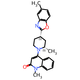 Cc1ccc2oc([C@H]3CCN(c4cc(=O)n(C)c5ccccc45)[C@@H](C)C3)nc2c1